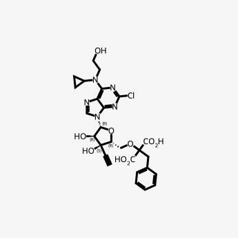 C#C[C@@]1(O)[C@@H](COC(Cc2ccccc2)(C(=O)O)C(=O)O)O[C@@H](n2cnc3c(N(CCO)C4CC4)nc(Cl)nc32)[C@@H]1O